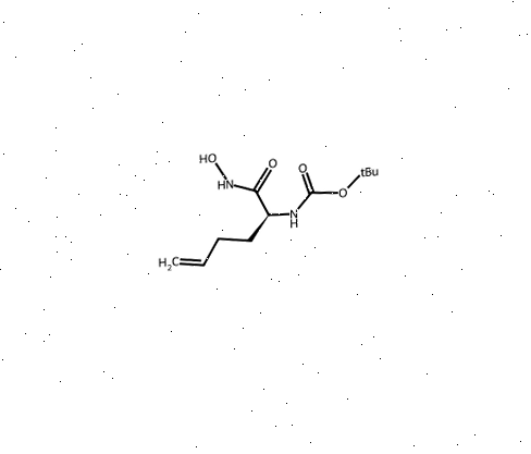 C=CCC[C@H](NC(=O)OC(C)(C)C)C(=O)NO